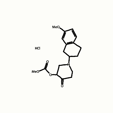 COC(=O)OC1CN(C2CCc3ccc(OC)cc3C2)CCC1=O.Cl